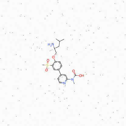 CC(C)C[C@](C)(N)COc1ccc(-c2ccnc(N(C)C(=O)O)c2)cc1S(C)(=O)=O